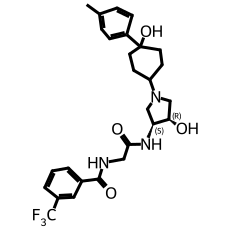 Cc1ccc(C2(O)CCC(N3C[C@@H](O)[C@@H](NC(=O)CNC(=O)c4cccc(C(F)(F)F)c4)C3)CC2)cc1